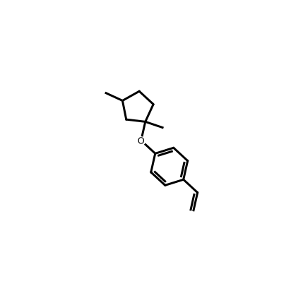 C=Cc1ccc(OC2(C)CCC(C)C2)cc1